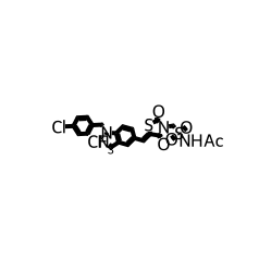 CC(=O)NS(=O)(=O)CN1C(=O)S/C(=C\c2ccc3c(cnn3Cc3ccc(Cl)cc3C(F)(F)F)c2)C1=O